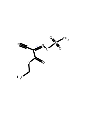 CCOC(=O)/C(C#N)=N\OS(C)(=O)=O